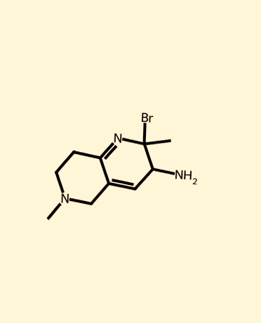 CN1CCC2=NC(C)(Br)C(N)C=C2C1